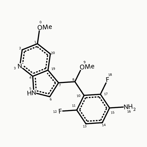 COc1cnc2[nH]cc(C(OC)c3c(F)ccc(N)c3F)c2c1